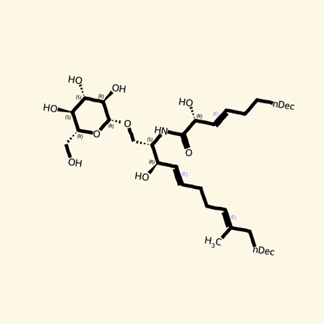 CCCCCCCCCCCC/C=C/[C@@H](O)C(=O)N[C@@H](CO[C@@H]1O[C@H](CO)[C@@H](O)[C@H](O)[C@H]1O)[C@H](O)/C=C/CC/C=C(\C)CCCCCCCCCCC